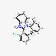 Cc1cccc(F)c1-c1n(-c2c(C)cccc2C)c2ccccc2[n+]1C